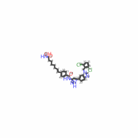 O=C(CCCCCC=Cc1ccc(C(=O)Nc2cc(-c3ccc4ncn(Cc5c(Cl)cccc5Cl)c4c3)[nH]n2)cc1)NO